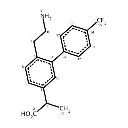 CC(C(=O)O)c1ccc(CCN)c(-c2ccc(C(F)(F)F)cc2)c1